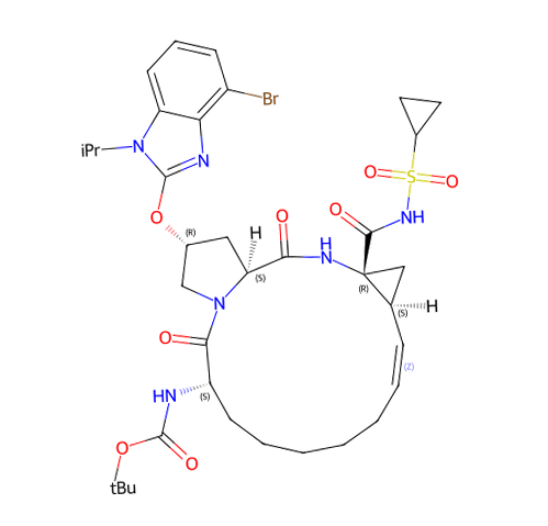 CC(C)n1c(O[C@@H]2C[C@H]3C(=O)N[C@]4(C(=O)NS(=O)(=O)C5CC5)C[C@H]4/C=C\CCCCC[C@H](NC(=O)OC(C)(C)C)C(=O)N3C2)nc2c(Br)cccc21